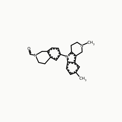 Cc1ccc2c(c1)c1c(n2-c2ccc3c(c2)CCN(C=O)C3)CCN(C)C1